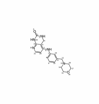 O=C1NCc2c(Nc3cccc(CN4CCOCC4)c3)ccnc2N1